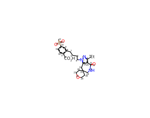 CCc1nn(CCCCc2cc(S(C)(=O)=O)ccc2C(=O)O)c2c1C(=O)NCC1(CCOCC1)C2